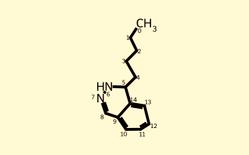 CCCCCC1NN=Cc2ccccc21